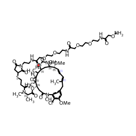 COc1cc2cc(c1Cl)N(C)C(=O)C[C@H](OC(=O)[C@H](C)N(C)C(=O)CCSC1CC(=O)N(CCNC(=O)COCCOCCNC(=O)COCCOCCNC(=O)CON)C1=O)[C@]1(C)O[C@H]1C(C)[C@@H]1C[C@@](O)(NC(=O)O1)[C@H](OC)/C=C/C=C(\C)C2